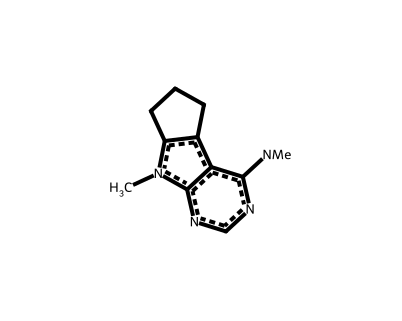 CNc1ncnc2c1c1c(n2C)CCC1